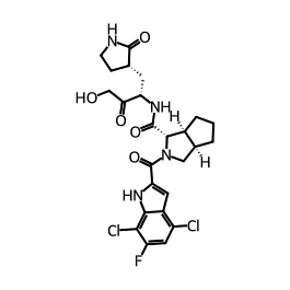 O=C1NCC[C@H]1C[C@H](NC(=O)[C@@H]1[C@H]2CCC[C@H]2CN1C(=O)c1cc2c(Cl)cc(F)c(Cl)c2[nH]1)C(=O)CO